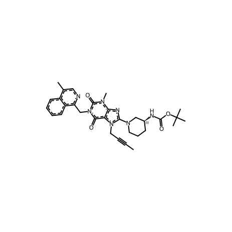 CC#CCn1c(N2CCC[C@H](NC(=O)OC(C)(C)C)C2)nc2c1c(=O)n(Cc1ncc(C)c3ccccc13)c(=O)n2C